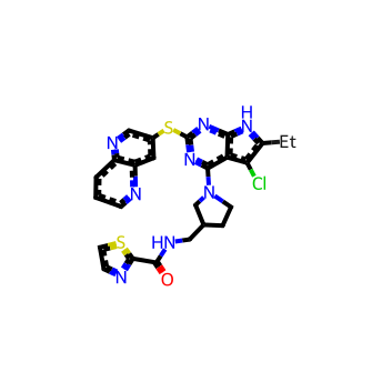 CCc1[nH]c2nc(Sc3cnc4cccnc4c3)nc(N3CCC(CNC(=O)c4nccs4)C3)c2c1Cl